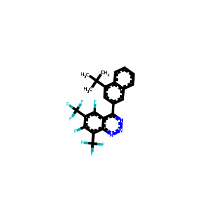 CC(C)(C)c1cc(-c2nnnc3c(C(F)(F)F)c(F)c(C(F)(F)F)c(F)c23)cc2ccccc12